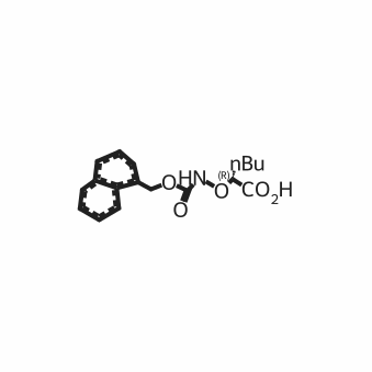 CCCC[C@@H](ONC(=O)OCc1cccc2ccccc12)C(=O)O